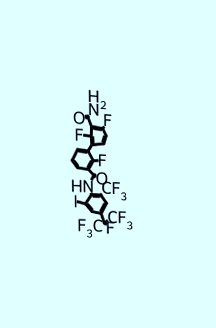 NC(=O)c1c(F)ccc(-c2cccc(C(=O)Nc3c(I)cc(C(F)(C(F)(F)F)C(F)(F)F)cc3C(F)(F)F)c2F)c1F